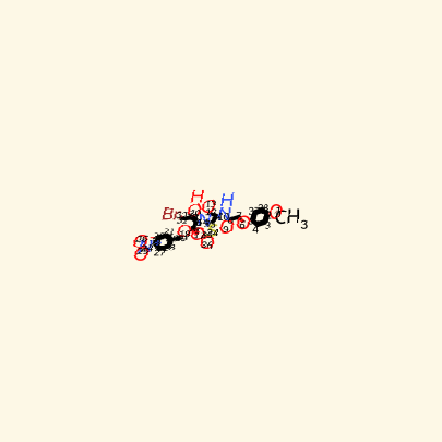 COc1ccc(OCC(=O)NC2C(=O)N(C(C(=O)OCc3ccc([N+](=O)[O-])cc3)=C(O)CBr)C2SC=O)cc1